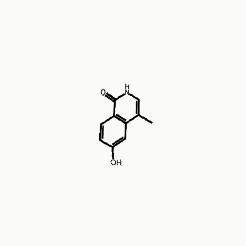 Cc1c[nH]c(=O)c2ccc(O)cc12